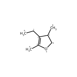 CCC1=C(C)OCC1C